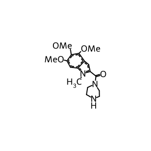 COc1cc2c(cc(C(=O)N3CCNCC3)n2C)c(OC)c1OC